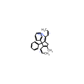 C/C=C\C1=C(C)C/C(=C(N)\C=C/C)C1(c1ccccc1)c1ccccc1